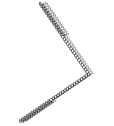 [Ba+2].[Ba+2].[Ba+2].[Ba+2].[Ba+2].[Ba+2].[Ba+2].[Ba+2].[Ba+2].[Ba+2].[Ba+2].[Ba+2].[Ba+2].[Ba+2].[Ba+2].[Ba+2].[Ba+2].[Ba+2].[Ba+2].[Ba+2].[Ba+2].[Ba+2].[Ba+2].[Ba+2].[Ba+2].[Ba+2].[Ba+2].[O-2].[O-2].[O-2].[O-2].[O-2].[O-2].[O-2].[O-2].[O-2].[O-2].[O-2].[O-2].[O-2].[O-2].[O-2].[O-2].[O-2].[O-2].[O-2].[O-2].[O-2].[O-2].[O-2].[O-2].[O-2].[O-2].[O-2].[O-2].[O-2].[O-2].[O-2].[O-2].[O-2]